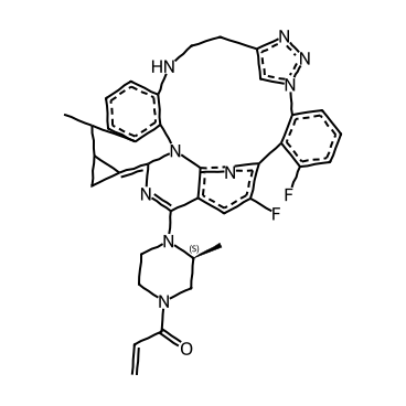 C=CC(=O)N1CCN(C2=NC3=C4CC4C(C)c4cccc5c4N3c3nc(c(F)cc32)-c2c(F)cccc2-n2cc(nn2)CCN5)[C@@H](C)C1